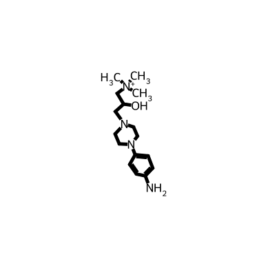 C[N+](C)(C)CC(O)CN1CCN(c2ccc(N)cc2)CC1